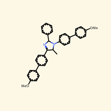 COc1ccc(-c2ccc(C3=NC(c4ccccc4)N(c4ccc(-c5ccc(OC)cc5)cc4)C3C)cc2)cc1